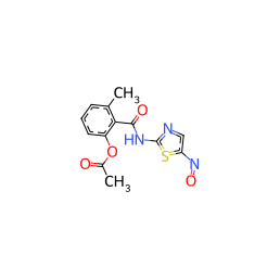 CC(=O)Oc1cccc(C)c1C(=O)Nc1ncc(N=O)s1